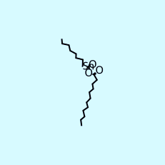 CCCCCCCCCCCC(=O)[O][Sn](=[O])[CH2]CCCCCCC